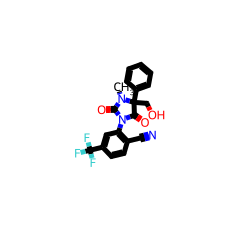 CN1C(=O)N(c2cc(C(F)(F)F)ccc2C#N)C(=O)C1(CO)c1ccccc1